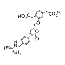 N=C(N)NCc1ccc(N2CC(COc3cc(CC(=O)O)ccc3CC(=O)O)OC2=O)cc1